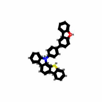 c1ccc2c(c1)oc1ccc(-c3ccc(-n4c5ccccc5c5ccc6c7ccccc7sc6c54)cc3)cc12